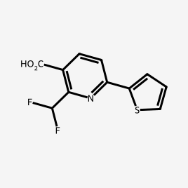 O=C(O)c1ccc(-c2cccs2)nc1C(F)F